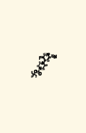 CC(C)(C)OC(=O)N1CCN(c2cc(C#N)ncc2F)CC1